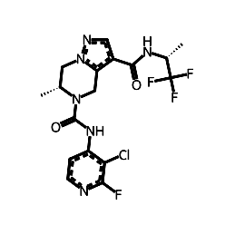 C[C@@H]1Cn2ncc(C(=O)N[C@H](C)C(F)(F)F)c2CN1C(=O)Nc1ccnc(F)c1Cl